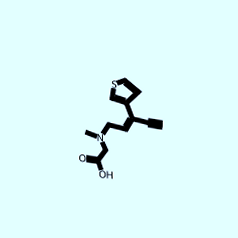 C#C/C(=C/CN(C)CC(=O)O)c1ccsc1